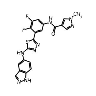 Cn1cc(C(=O)Nc2cc(F)c(F)c(-c3nnc(Nc4ccc5[nH]ncc5c4)s3)c2)cn1